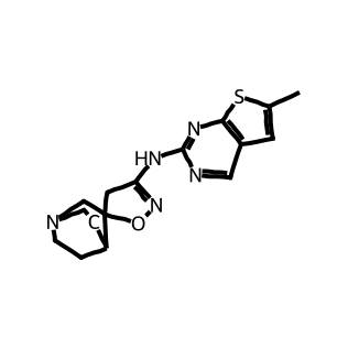 Cc1cc2cnc(NC3=NOC4(C3)CN3CCC4CC3)nc2s1